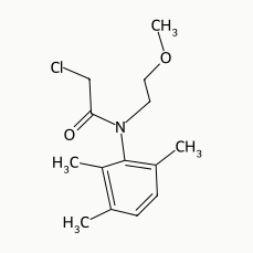 COCCN(C(=O)CCl)c1c(C)ccc(C)c1C